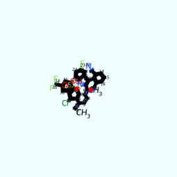 C\C=C(/C=C\C=C(/C)c1c(-c2c(C#N)cccc2C#N)c2cc(F)ccc2n1Sc1ccc(C(F)F)cc1)c1ccc(S(=O)O)cc1Cl